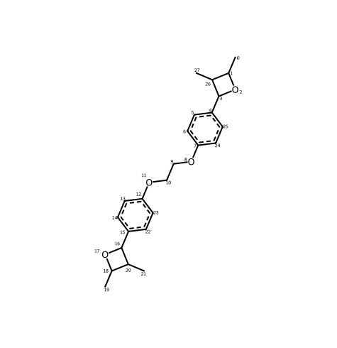 CC1OC(c2ccc(OCCOc3ccc(C4OC(C)C4C)cc3)cc2)C1C